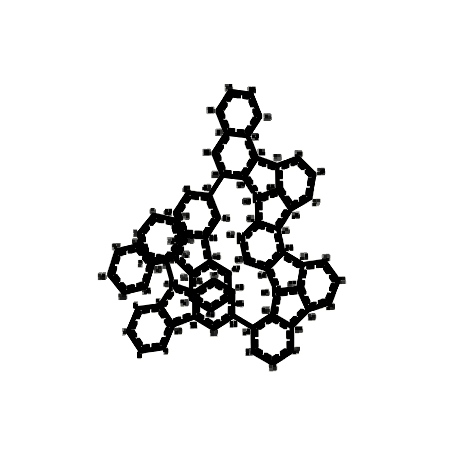 c1ccc(-n2c3ccccc3c3cc(-c4cccc5c6cccc7c8c9c%10cccc%11c%12c%13ccccc%13cc(-c%13ccc%14c(c%13)c%13ccccc%13n%14-c%13ccccc%13)c%12n(c9ncc8n(c45)c67)c%10%11)ccc32)cc1